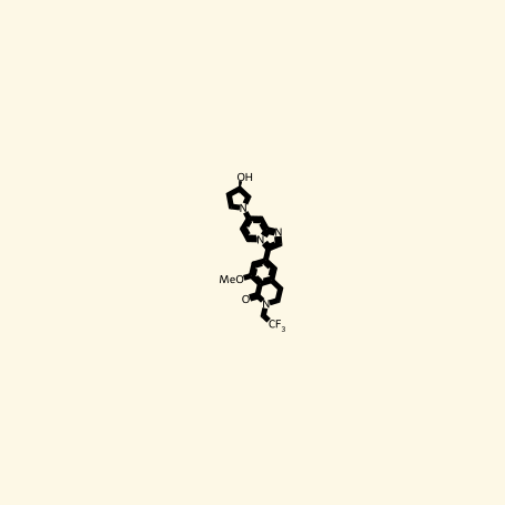 COc1cc(-c2cnc3cc(N4CC[C@@H](O)C4)ccn23)cc2c1C(=O)N(CC(F)(F)F)CC2